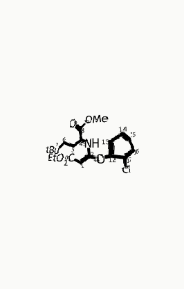 CCOC(=O)C=C(NC(CCC(C)(C)C)C(=O)OC)Oc1ccccc1Cl